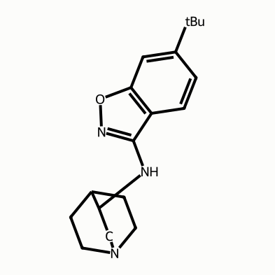 CC(C)(C)c1ccc2c(NC3CN4CCC3CC4)noc2c1